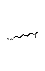 CNCCCCCNI